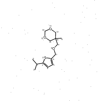 CC(C)c1ccc(COCC2(C)COCOC2)s1